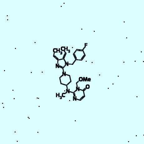 C/C=c1/nc(N2CCC(N(C)c3nccc(=O)n3COC)CC2)n(Cc2ccc(F)cc2)/c1=C/C